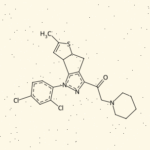 CC1=CC2c3c(c(C(=O)CN4CCCCC4)nn3-c3ccc(Cl)cc3Cl)CC2S1